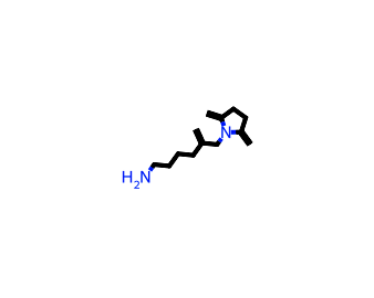 C=C(CCCCN)CN1C(=C)CCC1=C